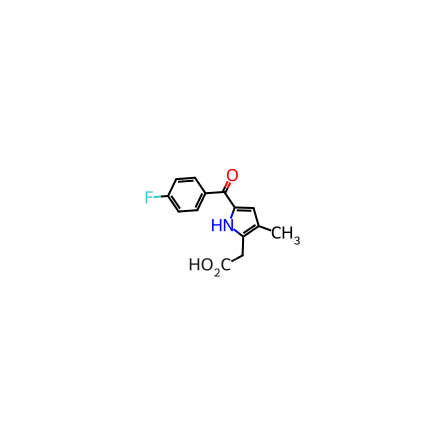 Cc1cc(C(=O)c2ccc(F)cc2)[nH]c1CC(=O)O